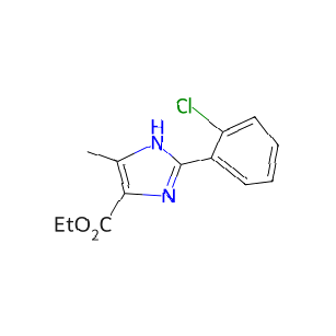 CCOC(=O)c1nc(-c2ccccc2Cl)[nH]c1C